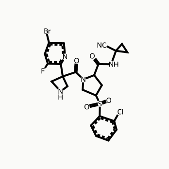 N#CC1(NC(=O)C2CC(S(=O)(=O)c3ccccc3Cl)CN2C(=O)C2(c3ncc(Br)cc3F)CNC2)CC1